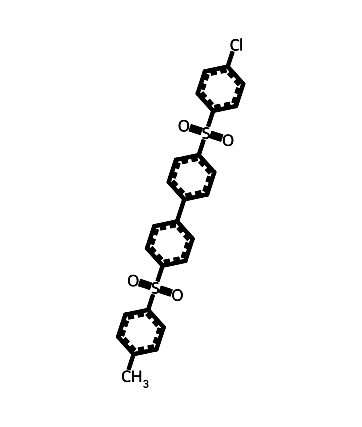 Cc1ccc(S(=O)(=O)c2ccc(-c3ccc(S(=O)(=O)c4ccc(Cl)cc4)cc3)cc2)cc1